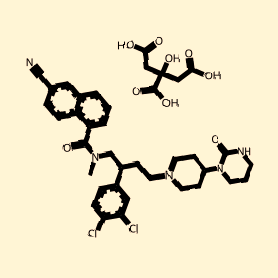 CN(CC(CCN1CCC(N2CCCNC2=O)CC1)c1ccc(Cl)c(Cl)c1)C(=O)c1cccc2cc(C#N)ccc12.O=C(O)CC(O)(CC(=O)O)C(=O)O